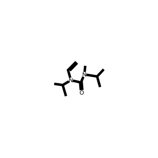 C=CN(C(=O)N(C)C(C)C)C(C)C